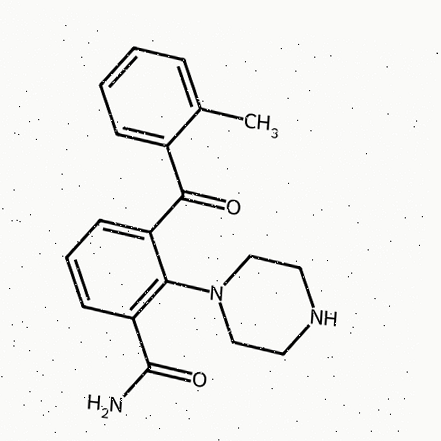 Cc1ccccc1C(=O)c1cccc(C(N)=O)c1N1CCNCC1